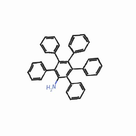 Nc1c(-c2ccccc2)c(-c2ccccc2)c(-c2ccccc2)c(-c2ccccc2)c1-c1ccccc1